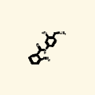 CCc1ccc(NC(=O)c2ccccc2N)cc1O